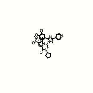 COc1ccc(-c2nc(-c3ccncc3)nn2CCN(C(=O)c2cc([N+](=O)[O-])[nH]n2)C2CCCC2)cc1Cl